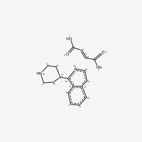 O=C(O)/C=C/C(=O)O.c1ccc2c(N3CCNCC3)nccc2c1